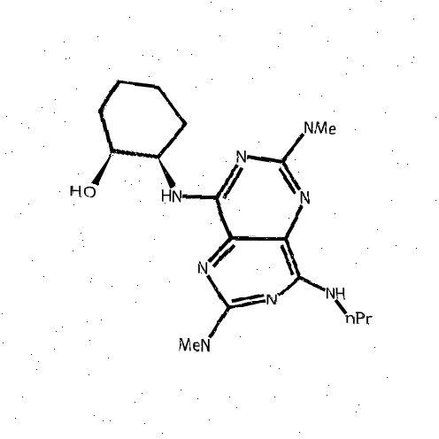 CCCNc1nc(NC)nc2c(N[C@@H]3CCCC[C@@H]3O)nc(NC)nc12